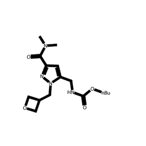 CCCCOC(=O)NCc1cc(C(=O)N(C)C)nn1CC1COC1